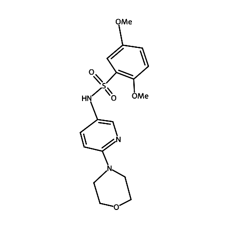 COc1ccc(OC)c(S(=O)(=O)Nc2ccc(N3CCOCC3)nc2)c1